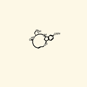 COc1ccc2c(c1)[C@@H]1C[C@H]2OC/C=C/CCCC(=O)N[C@@H](CC(C)C)[C@H](O)CN1